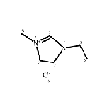 CCN1C=[N+](C)CC1.[Cl-]